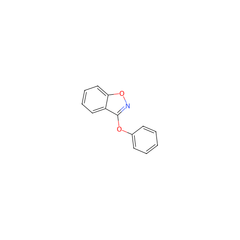 c1ccc(Oc2noc3ccccc23)cc1